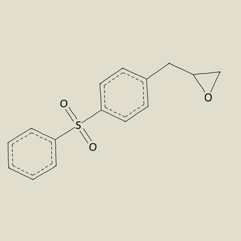 O=S(=O)(c1ccccc1)c1ccc(CC2CO2)cc1